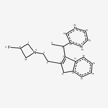 CC(C1=C(CCN2CC(F)C2)Cc2ccccc21)c1cnccn1